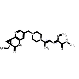 C=N/C(=N\C=C(/C)N1CCN(Cc2cnc3c(c2)NC(=O)[C@]2(CC)C=C32)CC1)C(=O)NC